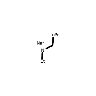 CCCC[N-]CC.[Na+]